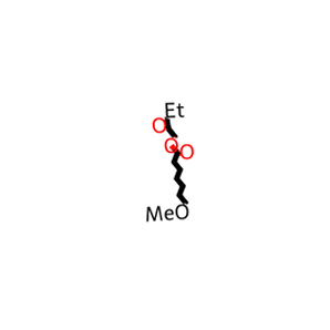 CCC1OC1COC(=O)CCCCCCOC